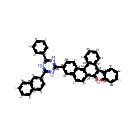 c1ccc(-c2nc(-c3ccc4ccccc4c3)nc(-c3ccc4c(ccc5c6oc7ccccc7c6c6ccccc6c45)c3)n2)cc1